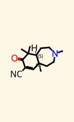 CN1CC[C@@H]2C(C)(C)C(=O)C(C#N)=C[C@@]2(C)CC1